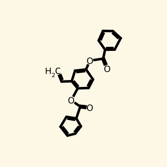 C=Cc1cc(OC(=O)c2ccccc2)ccc1OC(=O)c1ccccc1